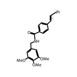 COc1cc(CNC(=O)c2ccc(/C=C/C(C)C)cc2)cc(OC)c1OC